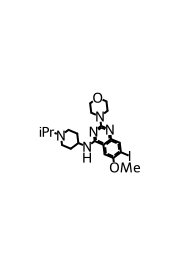 COc1cc2c(NC3CCN(C(C)C)CC3)nc(N3CCOCC3)nc2cc1I